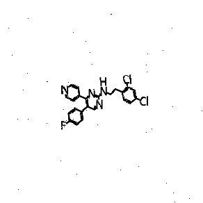 Fc1ccc(-c2cnc(NCCc3ccc(Cl)cc3Cl)nc2-c2ccncc2)cc1